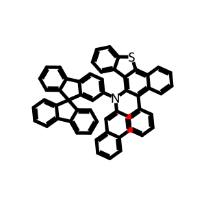 c1ccc(-c2c(N(c3ccc4c(c3)C3(c5ccccc5-c5ccccc53)c3ccccc3-4)c3ccc4ccccc4c3)c3c4ccccc4sc3c3ccccc23)cc1